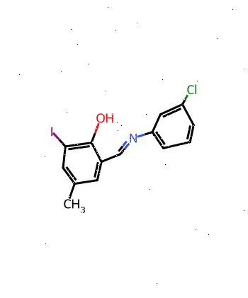 Cc1cc(I)c(O)c(/C=N/c2cccc(Cl)c2)c1